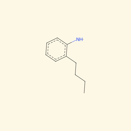 CCCCc1ccccc1[NH]